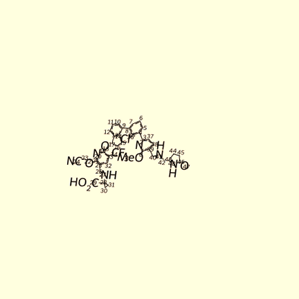 COc1nc(-c2cccc(-c3cccc4c3CC[C@@H]4Oc3nc(OCC#N)c(CNC4(C(=O)O)CC4)cc3C(F)(F)F)c2Cl)ccc1CNC[C@@H]1CCC(=O)N1